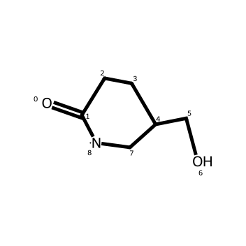 O=C1CCC(CO)C[N]1